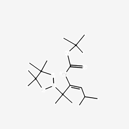 CC(C)/C=C(/NC(=O)OC(C)(C)C)C(C)(C)B1OC(C)(C)C(C)(C)O1